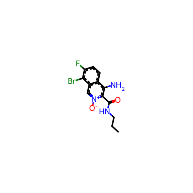 CCCNC(=O)c1c(N)c2ccc(F)c(Br)c2c[n+]1[O-]